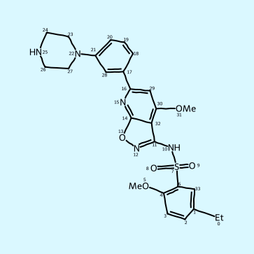 CCc1ccc(OC)c(S(=O)(=O)Nc2noc3nc(-c4cccc(N5CCNCC5)c4)cc(OC)c23)c1